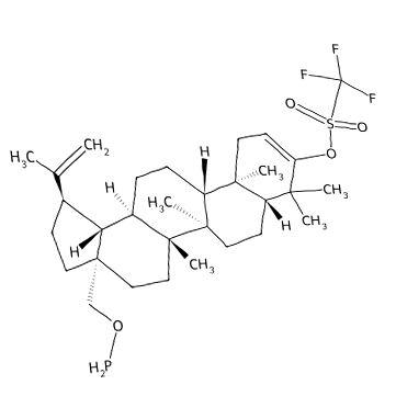 C=C(C)[C@@H]1CC[C@]2(COP)CC[C@]3(C)[C@H](CC[C@@H]4[C@@]5(C)CC=C(OS(=O)(=O)C(F)(F)F)C(C)(C)[C@@H]5CC[C@]43C)[C@@H]12